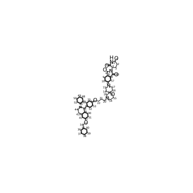 O=C1CCC(N2C(=O)c3ccc(N4CCC5(CC4)CN(CCCOc4ccc(C6c7ccc(OCc8ccccc8)cc7CC[C@@H]6c6ccccc6)cc4)CCO5)cc3C2=O)C(=O)N1